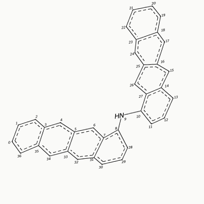 c1ccc2cc3cc4c(Nc5cccc6cc7cc8ccccc8cc7cc56)cccc4cc3cc2c1